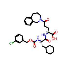 O=C(N[C@@H](CC1CCCCC1)C(=O)N[C@@H](CCC(=O)N1CCCc2ccccc2C1)C(=O)O)OCc1cccc(Cl)c1